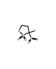 O=P(=O)C1(F)CCOS1(=O)=O